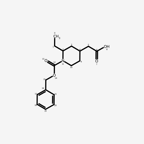 CCC1CC(CC(=O)O)CCN1C(=O)OCc1ccccc1